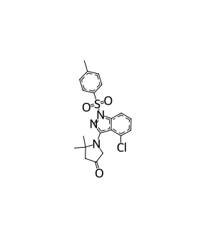 Cc1ccc(S(=O)(=O)n2nc(N3CC(=O)CC3(C)C)c3c(Cl)cccc32)cc1